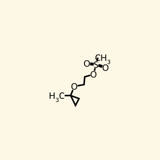 CC1(OCCOS(C)(=O)=O)CC1